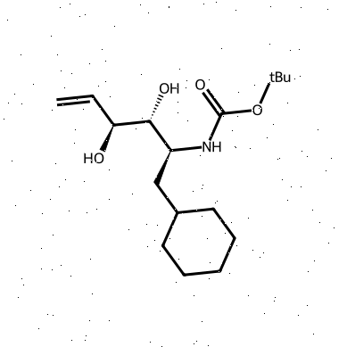 C=C[C@H](O)[C@H](O)[C@H](CC1CCCCC1)NC(=O)OC(C)(C)C